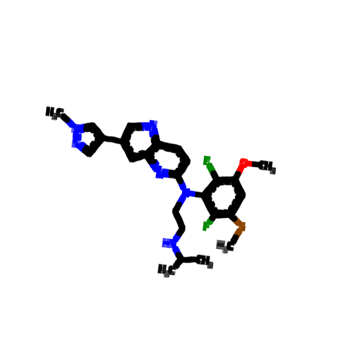 COc1cc(SC)c(F)c(N(CCNC(C)C)c2ccc3ncc(-c4cnn(C)c4)cc3n2)c1F